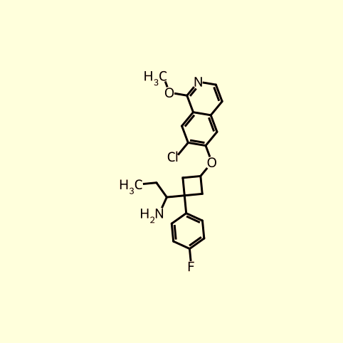 CCC(N)C1(c2ccc(F)cc2)CC(Oc2cc3ccnc(OC)c3cc2Cl)C1